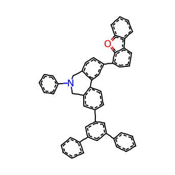 c1ccc(-c2cc(-c3ccccc3)cc(-c3ccc4c(c3)CN(c3ccccc3)Cc3ccc(-c5cccc6c5oc5ccccc56)cc3-4)c2)cc1